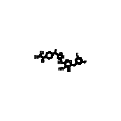 CCCC(NC(=O)Cc1cc(F)cc(F)c1)C(=O)Nc1cc(C(C)N2CCN(C(=O)N(CC)CC)CC2)on1